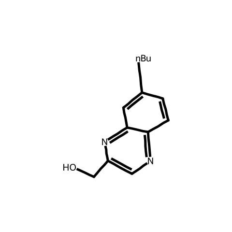 CCCCc1ccc2ncc(CO)nc2c1